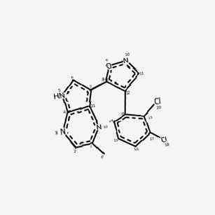 Cc1cnc2[nH]cc(-c3oncc3-c3cccc(Cl)c3Cl)c2n1